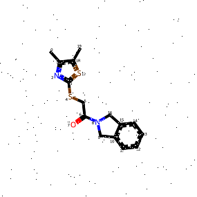 Cc1nc(SCC(=O)N2Cc3ccccc3C2)sc1C